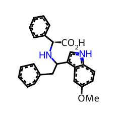 COc1ccc2[nH]cc(C(Cc3ccccc3)N[C@H](C(=O)O)c3ccccc3)c2c1